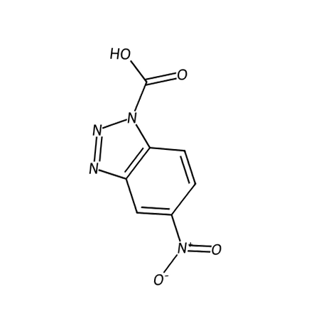 O=C(O)n1nnc2cc([N+](=O)[O-])ccc21